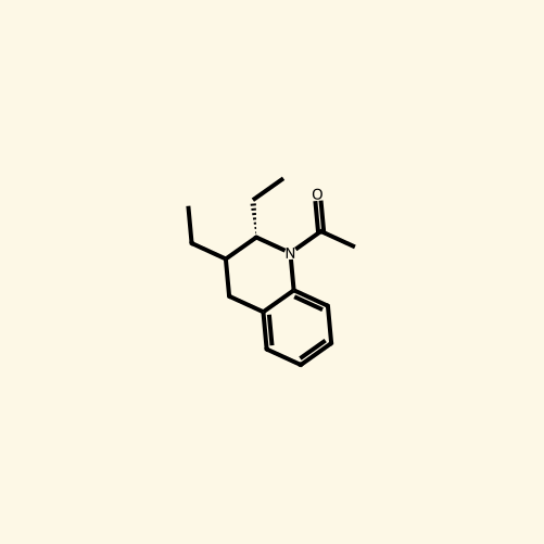 CCC1Cc2ccccc2N(C(C)=O)[C@H]1CC